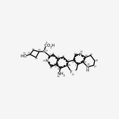 Cc1c(-c2cc3cc(N(C(=O)O)C4CC(O)C4)ncc3c(N)c2F)cnc2c1NCCC2